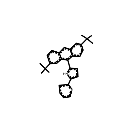 CC(C)(C)c1ccc2c(-c3ccc(-c4ccccn4)[nH]3)c3cc(C(C)(C)C)ccc3cc2c1